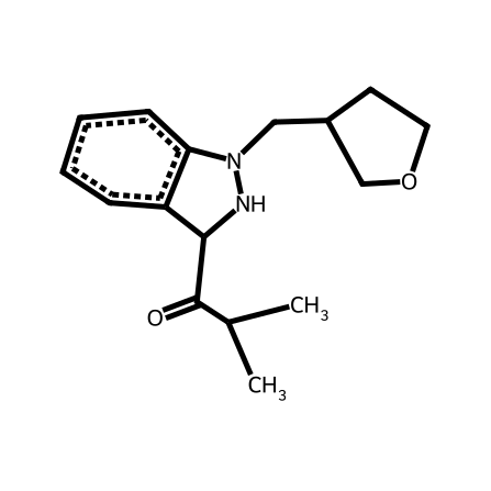 CC(C)C(=O)C1NN(CC2CCOC2)c2ccccc21